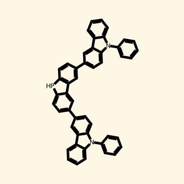 c1ccc(-n2c3ccccc3c3cc(-c4ccc5[pH]c6ccc(-c7ccc8c(c7)c7ccccc7n8-c7ccccc7)cc6c5c4)ccc32)cc1